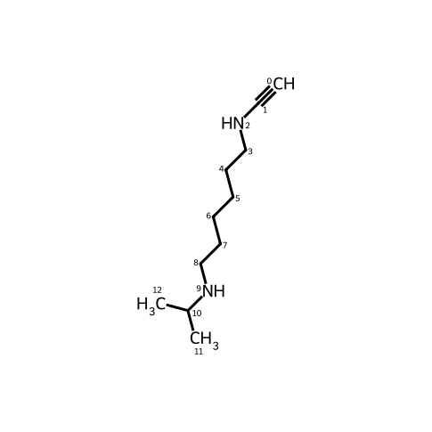 C#CNCCCCCCNC(C)C